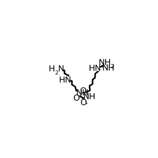 COC(NC(=O)CCCCCCCNC(=N)N)C(=O)NCCCCNCCCN